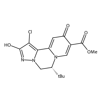 COC(=O)c1cn2c(cc1=O)-c1c(Cl)c(O)nn1C[C@H]2C(C)(C)C